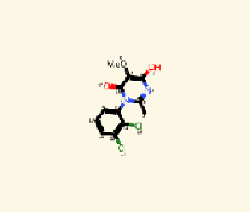 COc1c(O)nc(C)n(-c2cccc(Cl)c2Cl)c1=O